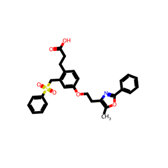 Cc1oc(-c2ccccc2)nc1CCOc1ccc(CCC(=O)O)c(CS(=O)(=O)c2ccccc2)c1